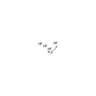 CF.F.F.F.F